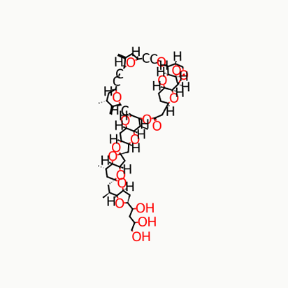 C=C1C[C@@H]2CCO[C@H]3[C@@H]4O[C@H]5CC[C@H](CC(=O)O[C@@H]6[C@@H](C)[C@@H]7O[C@@H]8C[C@]9(C[C@@H]%10O[C@]%11(C[C@H](C)[C@@H]%12O[C@H]([C@@H](O)C[C@@H](O)CO)C[C@@H]%12O%11)C[C@H](C)[C@@H]%10O9)O[C@@H]8C[C@@H]7O[C@H]6C[C@H]6O[C@@H](CC[C@@H]1O2)C[C@@H](C)C6=C)O[C@@H]5[C@@H]1OC[C@@H]3O[C@@H]14